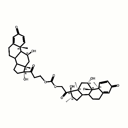 C[C@H]1CC2C3CCC4=CC(=O)C=C[C@]4(C)[C@@]3(F)[C@@H](O)C[C@]2(C)[C@@]1(O)C(=O)COC(=O)O[CH]CC(=O)[C@@]1(O)CCC2C3CCC4=CC(=O)C=C[C@]4(C)C3[C@@H](O)C[C@@]21C